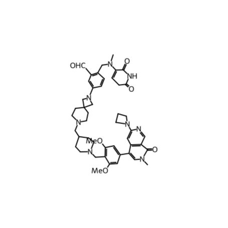 COc1cc(-c2cn(C)c(=O)c3cnc(N4CCC4)cc23)cc(OC)c1CN1CCC(CN2CCC3(CC2)CN(c2ccc(CN(C)C4=CCC(=O)NC4=O)c(C=O)c2)C3)CC1